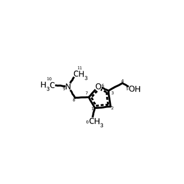 Cc1cc(CO)oc1CN(C)C